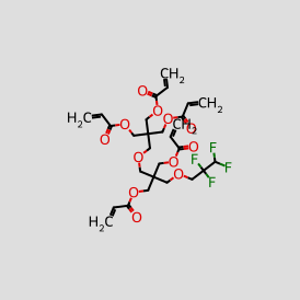 C=CC(=O)OCC(COCC(COC(=O)C=C)(COC(=O)C=C)COC(=O)C=C)(COCC(F)(F)C(F)F)COC(=O)C=C